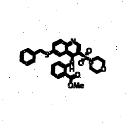 COC(=O)c1ccccc1Nc1c(S(=O)(=O)N2CCOCC2)cnc2ccc(SCc3ccccc3)cc12